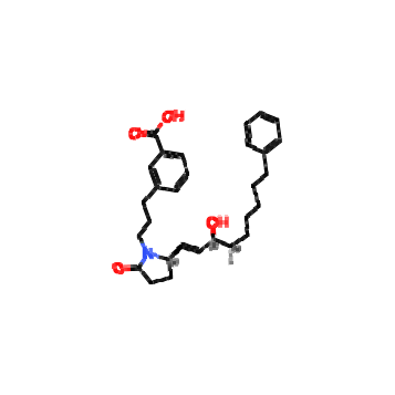 C[C@@H](CCCCCc1ccccc1)[C@H](O)C=C[C@H]1CCC(=O)N1CCCc1cccc(C(=O)O)c1